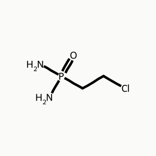 NP(N)(=O)CCCl